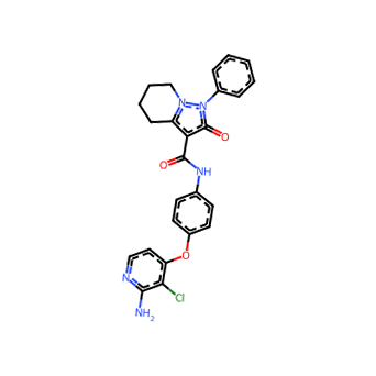 Nc1nccc(Oc2ccc(NC(=O)c3c4n(n(-c5ccccc5)c3=O)CCCC4)cc2)c1Cl